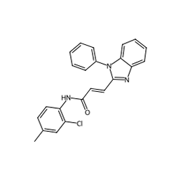 Cc1ccc(NC(=O)/C=C/c2nc3ccccc3n2-c2ccccc2)c(Cl)c1